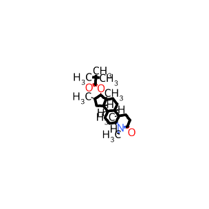 C[C@H]1C[C@H]2[C@@H]3CC[C@H]4N(C)C(=O)CC[C@]4(C)[C@H]3CC[C@]2(C)[C@H]1OC(=O)C(C)(C)C